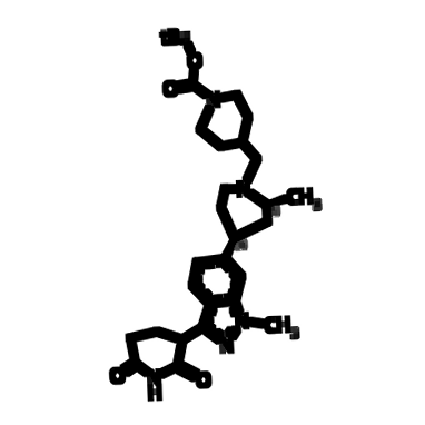 C[C@H]1C[C@@H](c2ccc3c(C4CCC(=O)NC4=O)nn(C)c3c2)CCN1CC1CCN(C(=O)OC(C)(C)C)CC1